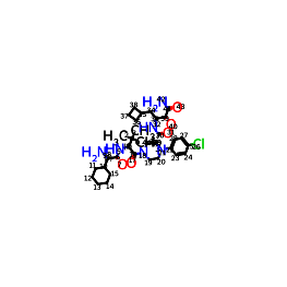 CC(C)(C)[C@H](NC(=O)[C@@H](N)C1CCCCC1)C(=O)N1CCN(c2ccc(Cl)cc2)[C@@H](C(=O)NC(CC2CCC2)C(=O)C(N)=O)C1